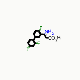 N[C@@H](CC(=O)O)c1cc(-c2ccc(F)cc2F)ccc1F